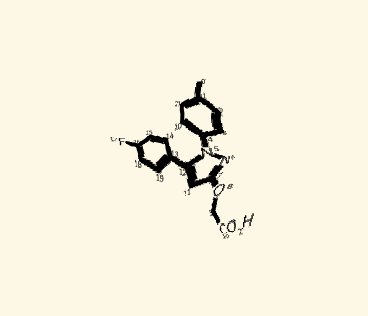 Cc1ccc(-n2nc(OCC(=O)O)cc2-c2ccc(F)cc2)cc1